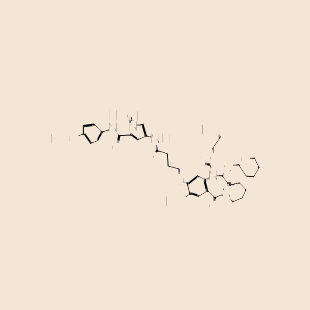 C=CCOC(=O)N1c2cc(OCCCC(=O)Nc3cc(C(=O)Nc4ccc(C)cc4)n(C)c3)c(C)cc2C(=O)N2CCCC[C@H]2C1OC1CCCCO1